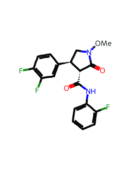 CON1C[C@H](c2ccc(F)c(F)c2)[C@@H](C(=O)Nc2ccccc2F)C1=O